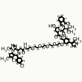 CC1=C(C)C2=C(C1)n1c(C)nnc1C(CC(=O)NCCOCCOCCOCCOCCOc1cc(C3=C(C)N=CC3)ccc1CNC(=O)C1CC(O)CN1C(=O)[C@H](C(C)C)N1Cc3ccccc3C1=O)N=C2c1ccc(Cl)cc1